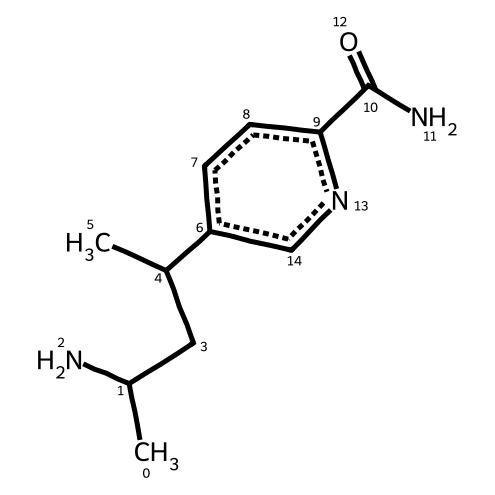 CC(N)CC(C)c1ccc(C(N)=O)nc1